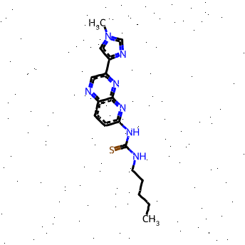 CCCCCNC(=S)Nc1ccc2ncc(-c3cn(C)cn3)nc2n1